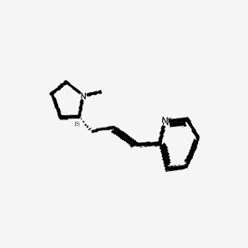 CN1CCC[C@H]1CC=Cc1ccccn1